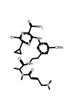 CCc1nc(C(N)=O)c(Nc2cc(CCNC(=O)C(C)N(C)C(=O)C=CCN(C)C)cc(OC)c2)nc1C1CC1